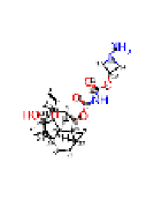 C=C[C@]1(C)C[C@@H](OC(=O)NC(=O)OC2CN(N)C2)[C@]23C[C@@H]2CC[C@]2(CCC(=O)[C@H]23)[C@@H](C)[C@@H]1O